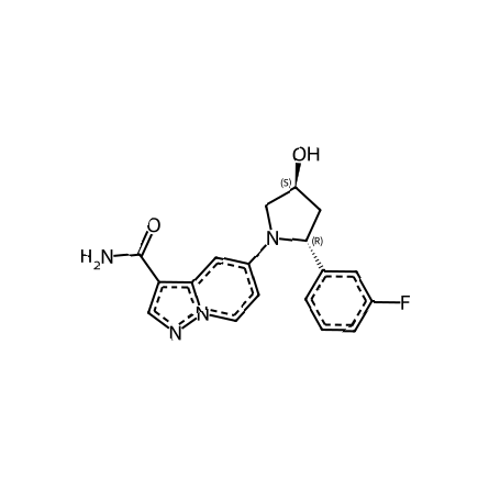 NC(=O)c1cnn2ccc(N3C[C@@H](O)C[C@@H]3c3cccc(F)c3)cc12